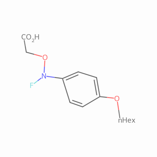 CCCCCCOc1ccc(N(F)OCC(=O)O)cc1